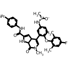 Cc1cc(F)cc(C)c1Oc1ccc(N[S+](C)[O-])cc1C1=CN(C)C(=O)C2NC(C(=O)Nc3ccc(C(C)C)cc3)=CC12